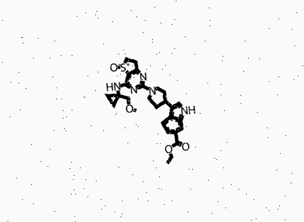 CCOC(=O)c1ccc2c(C3CCN(c4nc5c(c(NC6(COC)CC6)n4)[S+]([O-])CC5)CC3)c[nH]c2c1